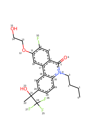 CCCCn1c(=O)c2cc(F)c(OCCO)cc2c2cc(C(C)(O)C(F)(F)F)ccc21